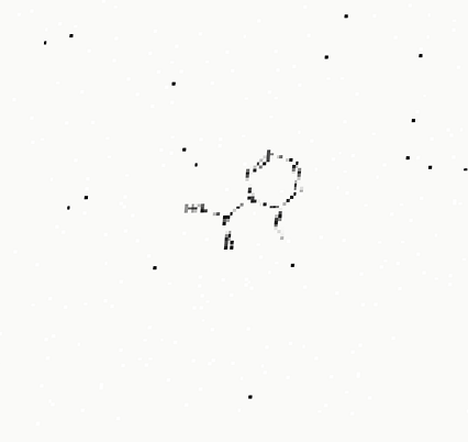 O=C(O)n1cnccc1=O